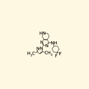 Cc1cc(C)n(-c2nc3c(c(NC4CCC(F)(F)CC4)n2)CCNC3)n1